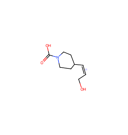 O=C(O)N1CCC(/C=C\CO)CC1